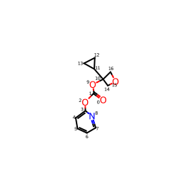 O=C(Oc1ccccn1)OC1(C2CC2)COC1